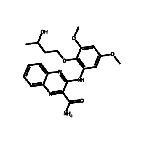 COc1cc(Nc2nc3ccccc3nc2C(N)=O)c(OCCC(C)O)c(OC)c1